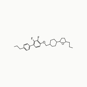 CCCc1ccc(-c2ccc(OCC3CCC(C4CCC(CCC)O4)CC3)c(F)c2F)cc1